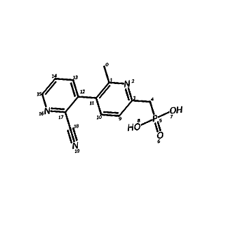 Cc1nc(CP(=O)(O)O)ccc1-c1cccnc1C#N